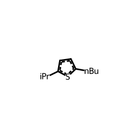 CCCCc1ccc(C(C)C)s1